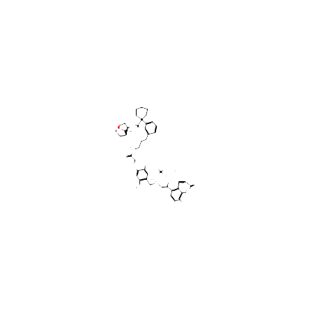 COc1cc(OCC(=O)N(C)CCCc2cccc(C3(C(=O)O[C@H]4CN5CCC4CC5)CCCCC3)c2)c(Cl)cc1CNCC(O[Si](C)(C)C(C)(C)C)c1ccc(O)c2[nH]c(=O)ccc12